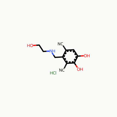 Cl.N#Cc1cc(O)c(O)c(C#N)c1CNCCO